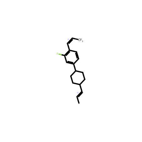 C/C=C/C1CCC(c2ccc(/C=C\C(F)(F)F)c(F)c2)CC1